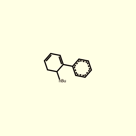 CCCCC1CC=CC=C1c1ccccc1